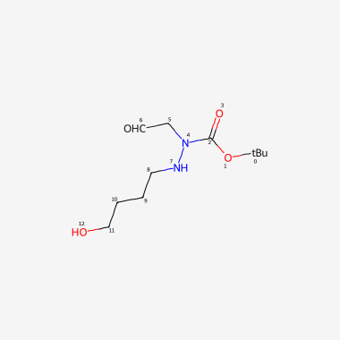 CC(C)(C)OC(=O)N(CC=O)NCCCCO